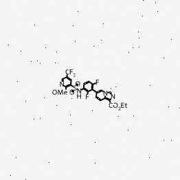 CCOC(=O)c1ncn2cc(-c3c(F)ccc(NS(=O)(=O)c4cc(C(F)(F)F)cnc4OC)c3F)ccc12